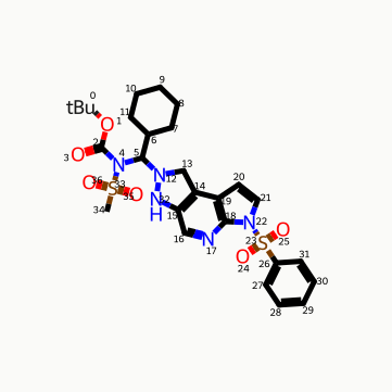 CC(C)(C)OC(=O)N(C(C1CCCCC1)N1Cc2c(cnc3c2ccn3S(=O)(=O)c2ccccc2)N1)S(C)(=O)=O